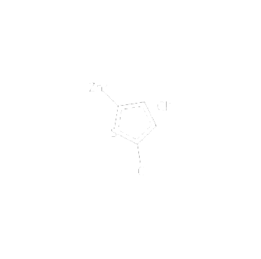 Clc1cc[c]([Zn+])s1.[Cl-]